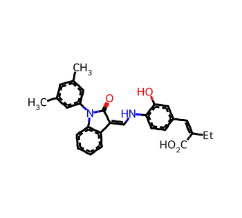 CCC(=Cc1ccc(NC=C2C(=O)N(c3cc(C)cc(C)c3)c3ccccc32)c(O)c1)C(=O)O